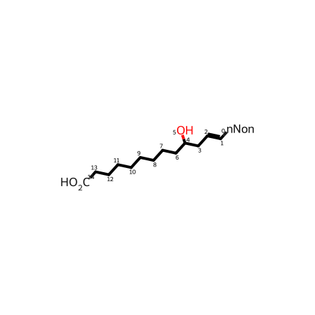 CCCCCCCCCC=CCC(O)CCCCCCCCC(=O)O